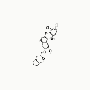 COc1cc2c(Nc3ccc(Cl)c(Cl)c3F)ncnc2cc1OC[C@@H]1CN2CCCC2CO1